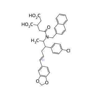 CC(C(C/C=C/c1ccc2c(c1)OCO2)c1ccc(Cl)cc1)N(Cc1ccc2ccccc2c1)C(=O)CC(CC(=O)O)C(=O)O